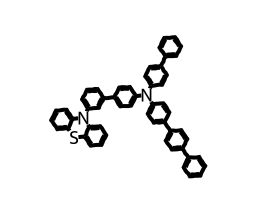 c1ccc(-c2ccc(-c3ccc(N(c4ccc(-c5ccccc5)cc4)c4ccc(-c5cccc(N6c7ccccc7Sc7ccccc76)c5)cc4)cc3)cc2)cc1